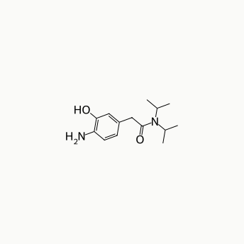 CC(C)N(C(=O)Cc1ccc(N)c(O)c1)C(C)C